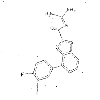 NC(N)=NC(=O)c1cc2c(-c3ccc(F)c(F)c3)cccc2s1